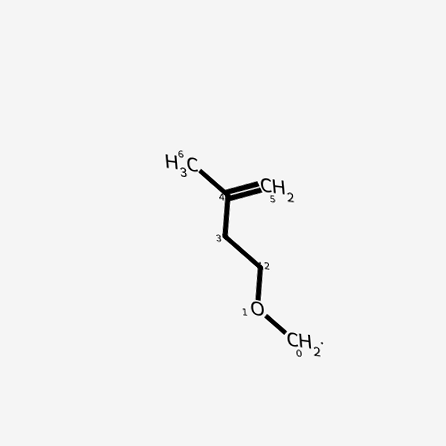 [CH2]O[CH]CC(=C)C